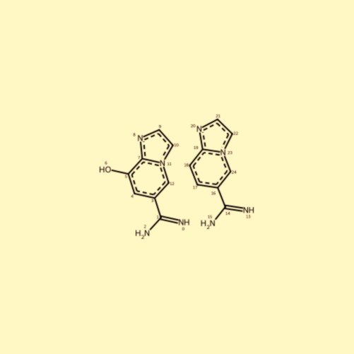 N=C(N)c1cc(O)c2nccn2c1.N=C(N)c1ccc2nccn2c1